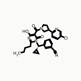 CCCCc1nc(O)c(C(=O)N2CCC(c3ccc(Cl)cn3)C2)c(=O)n1[C@H](c1cccc(C#N)c1)C1CC1